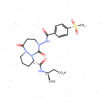 CS(=O)(=O)c1ccc(C(=O)NN2CCC(=O)N3CCC[C@@H](C(=O)N[C@H](C=O)CC(=O)O)N3C2=O)cc1